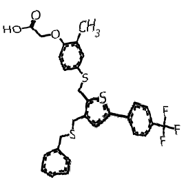 Cc1cc(SCc2sc(-c3ccc(C(F)(F)F)cc3)cc2CSCc2ccccc2)ccc1OCC(=O)O